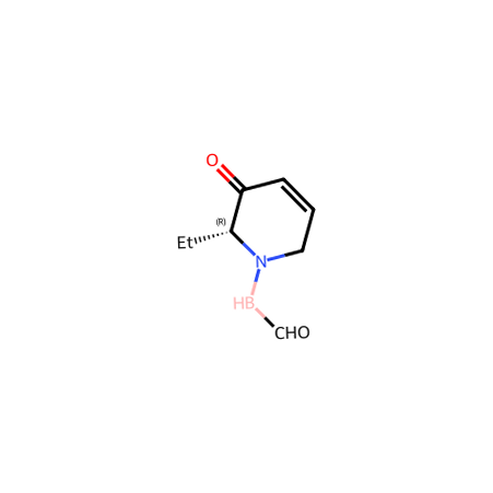 CC[C@@H]1C(=O)C=CCN1BC=O